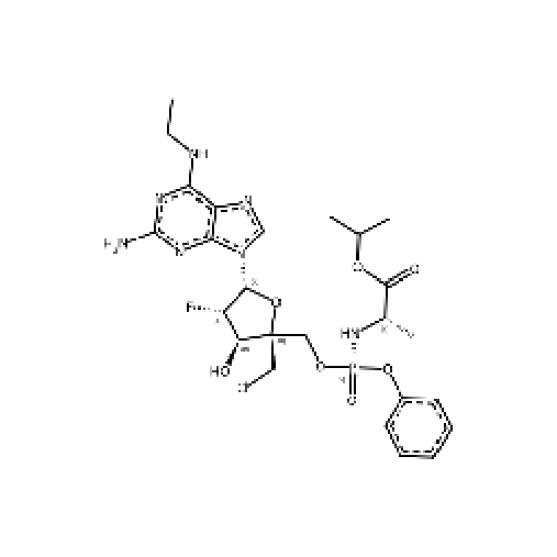 CCNc1nc(N)nc2c1ncn2[C@@H]1O[C@](CCl)(CO[P@@](=O)(N[C@@H](C)C(=O)OC(C)C)Oc2ccccc2)[C@@H](O)[C@@H]1F